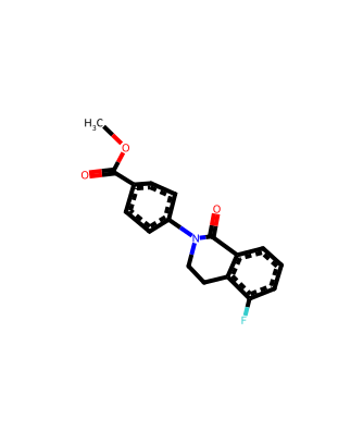 COC(=O)c1ccc(N2CCc3c(F)cccc3C2=O)cc1